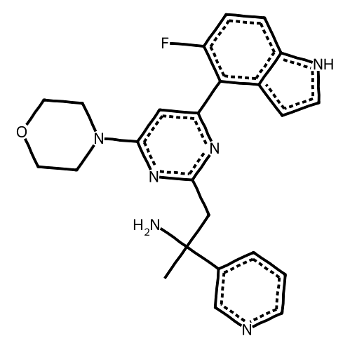 CC(N)(Cc1nc(-c2c(F)ccc3[nH]ccc23)cc(N2CCOCC2)n1)c1cccnc1